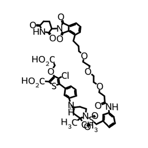 CC1(C)C[C@@H](Nc2cccc(-c3sc(C(=O)O)c(OCC(=O)O)c3Cl)c2)CCN1S(=O)(=O)Cc1cccc(NC(=O)CCOCCOCCOCCCc2cccc3c2C(=O)N(C2CCC(=O)NC2=O)C3=O)c1